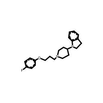 Fc1ccc(OCCCN2CCC(N3CCc4ccccc43)CC2)cc1